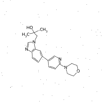 CC(C)(O)Cn1cnc2ccc(-c3ccc(N4CCOCC4)nc3)cc21